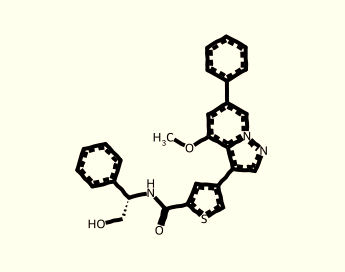 COc1cc(-c2ccccc2)cn2ncc(-c3csc(C(=O)N[C@H](CO)c4ccccc4)c3)c12